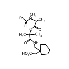 CC(C)C(=O)N(C)[C@@H](C)C(=O)OC(C)(C)C(=O)NCC1(CC(=O)O)CCCCC1